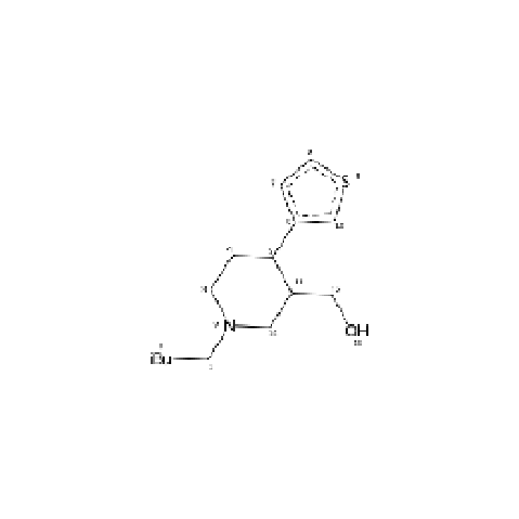 CCC(C)CN1CCC(c2ccsc2)C(CO)C1